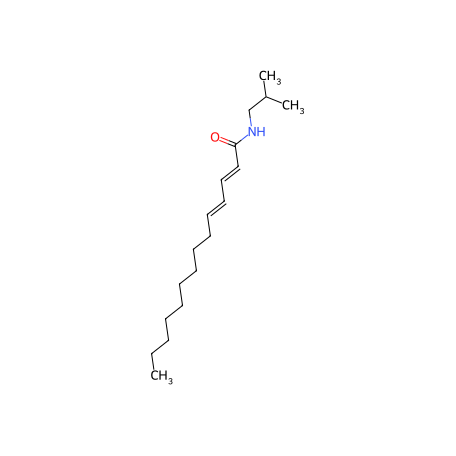 CCCCCCCCC/C=C/C=C/C(=O)NCC(C)C